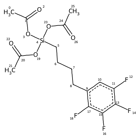 CC(=O)O[Si](CCCCc1cc(F)c(F)c(F)c1F)(OC(C)=O)OC(C)=O